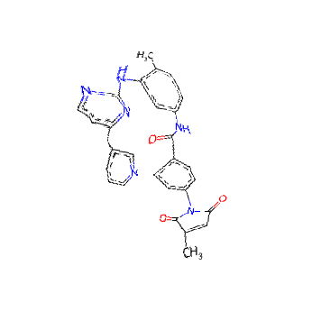 CC1=CC(=O)N(c2ccc(C(=O)Nc3ccc(C)c(Nc4nccc(-c5cccnc5)n4)c3)cc2)C1=O